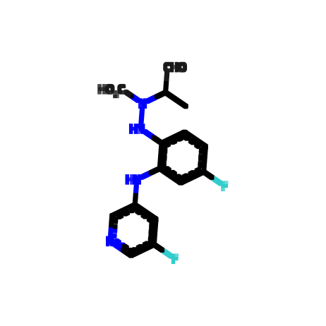 CC(C=O)N(Nc1ccc(F)cc1Nc1cncc(F)c1)C(=O)O